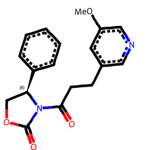 COc1cncc(CCC(=O)N2C(=O)OC[C@H]2c2ccccc2)c1